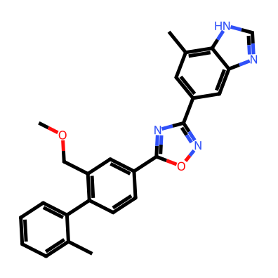 COCc1cc(-c2nc(-c3cc(C)c4[nH]cnc4c3)no2)ccc1-c1ccccc1C